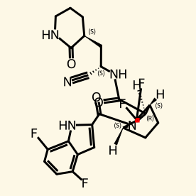 N#C[C@H](C[C@@H]1CCCNC1=O)NC(=O)[C@H]1[C@@H]2CC[C@@H](CC2(F)F)N1C(=O)c1cc2c(F)ccc(F)c2[nH]1